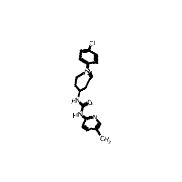 Cc1ccc(NC(=O)NC2CCN(c3ccc(Cl)cc3)CC2)nc1